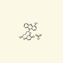 COc1cccc2c1nc1ccccc1[n+]2C(CCCC=O)ON1CC(=O)C=CC1=O.O=[N+]([O-])[O-]